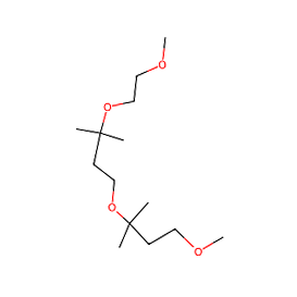 COCCOC(C)(C)CCOC(C)(C)CCOC